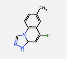 Cc1ccc2c(c1)C(Cl)=CC1NN=CN21